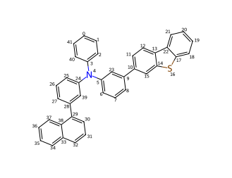 c1ccc(N(c2cccc(-c3ccc4c(c3)sc3ccccc34)c2)c2cccc(-c3cccc4ccccc34)c2)cc1